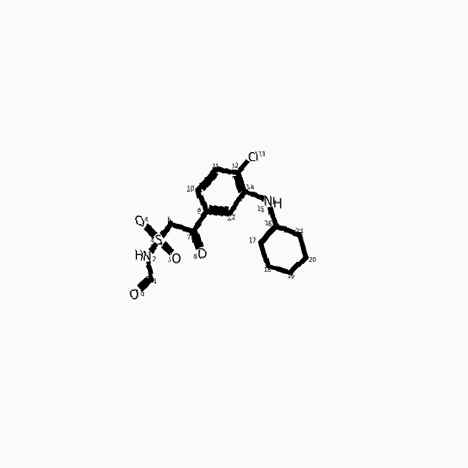 O=CNS(=O)(=O)CC(=O)c1ccc(Cl)c(NC2CCCCC2)c1